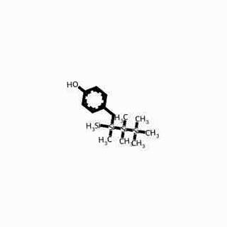 C[Si](C)(C)[Si](C)(C)[Si](C)([SiH3])Cc1ccc(O)cc1